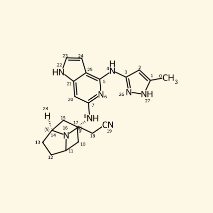 Cc1cc(Nc2nc(N[C@@H]3CC4CC[C@@H](C3)N4CCC#N)cc3[nH]ccc23)n[nH]1